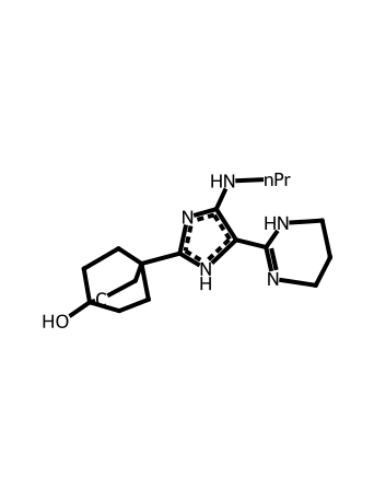 CCCNc1nc(C23CCC(O)(CC2)CC3)[nH]c1C1=NCCCN1